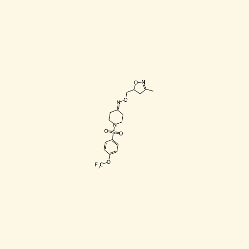 CC1=NOC(CON=C2CCN(S(=O)(=O)c3ccc(OC(F)(F)F)cc3)CC2)C1